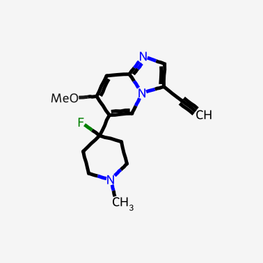 C#Cc1cnc2cc(OC)c(C3(F)CCN(C)CC3)cn12